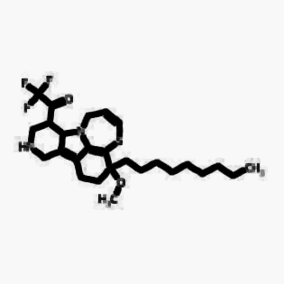 CCCCCCCCCC1(OC)CCC2=C3CNCC(C(=O)C(F)(F)F)C3N3CC=CSC1=C23